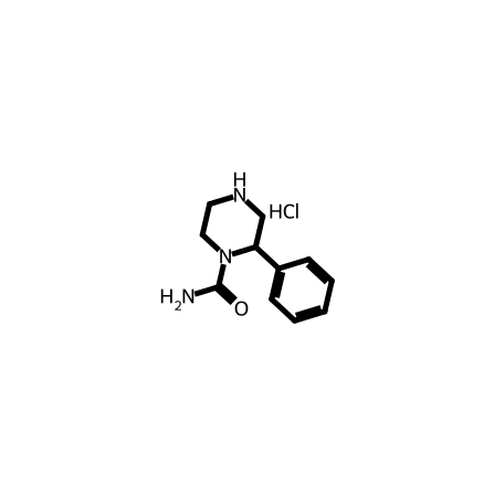 Cl.NC(=O)N1CCNCC1c1ccccc1